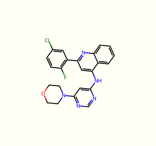 Fc1ccc(Cl)cc1-c1cc(Nc2cc(N3CCOCC3)ncn2)c2ccccc2n1